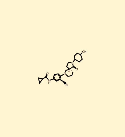 N#Cc1cc(NC(=O)C2CC2)ccc1N1CCC[C@@]2(CCN(C3CCC(O)CC3)C2=O)C1